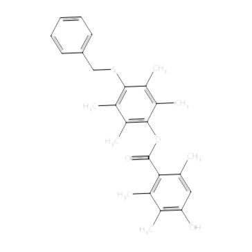 Cc1cc(O)c(C)c(C)c1C(=O)Oc1c(C)c(C)c(SCc2ccccc2)c(C)c1C